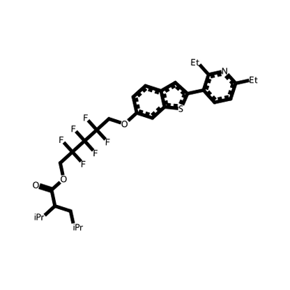 CCc1ccc(-c2cc3ccc(OCC(F)(F)C(F)(F)C(F)(F)COC(=O)C(CC(C)C)C(C)C)cc3s2)c(CC)n1